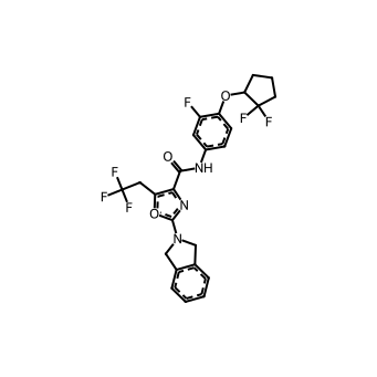 O=C(Nc1ccc(OC2CCCC2(F)F)c(F)c1)c1nc(N2Cc3ccccc3C2)oc1CC(F)(F)F